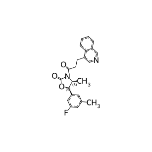 Cc1cc(F)cc([C@H]2OC(=O)N(C(=O)CCc3cncc4ccccc34)[C@H]2C)c1